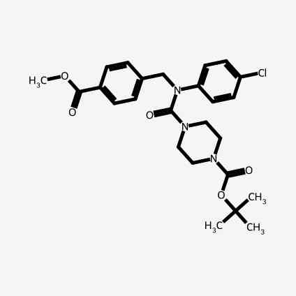 COC(=O)c1ccc(CN(C(=O)N2CCN(C(=O)OC(C)(C)C)CC2)c2ccc(Cl)cc2)cc1